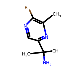 Cc1nc(C(C)(C)N)cnc1Br